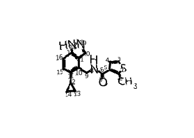 Cc1sccc1C(=O)NCc1c(C2CC2)ccc2[nH]ncc12